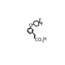 O=C(O)/C=C/c1cccc(OC2CCC(F)(F)CC2)c1